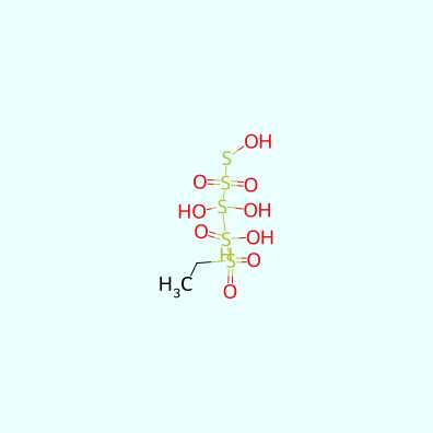 CCS(=O)(=O)[SH](=O)(O)S(O)(O)S(=O)(=O)SO